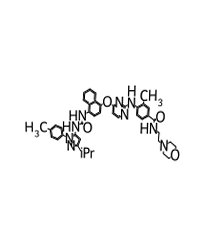 Cc1ccc(-n2nc(C(C)C)cc2NC(=O)Nc2ccc(Oc3ccnc(Nc4ccc(C(=O)NCCN5CCOCC5)cc4C)n3)c3ccccc23)cc1